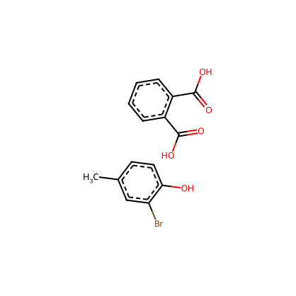 Cc1ccc(O)c(Br)c1.O=C(O)c1ccccc1C(=O)O